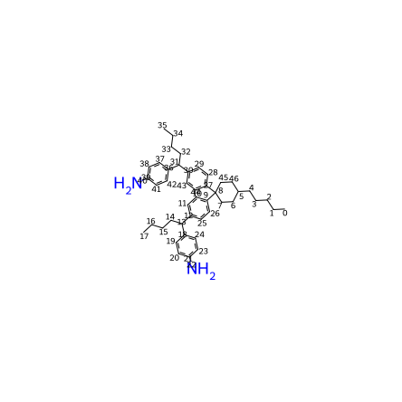 CCCCCC1CCC(c2ccc(C(CCCC)c3ccc(N)cc3)cc2)(c2ccc(C(CCCC)c3ccc(N)cc3)cc2)CC1